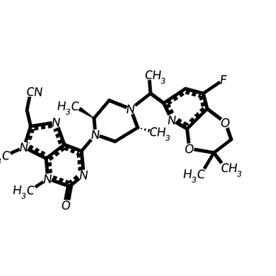 CC(c1cc(F)c2c(n1)OC(C)(C)CO2)N1C[C@H](C)N(c2nc(=O)n(C)c3c2nc(CC#N)n3C)C[C@H]1C